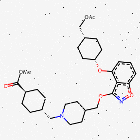 COC(=O)[C@H]1CC[C@H](CN2CCC(COc3noc4cccc(O[C@H]5CC[C@@H](COC(C)=O)CC5)c34)CC2)CC1